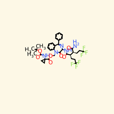 CC(C)(C)OC(=O)NC1(C(=O)OCN2C(=O)C(NC(=O)[C@H](CCC(F)(F)F)[C@H](CCC(F)(F)F)C(N)=O)N=C(c3ccccc3)c3ccccc32)CC1